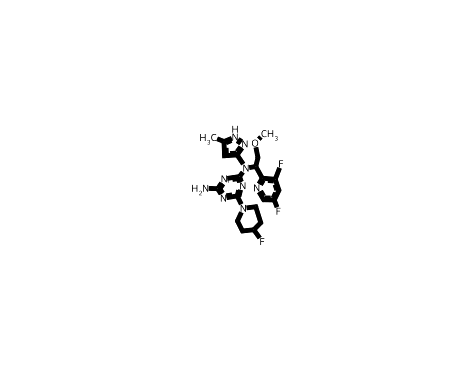 COCC(c1ncc(F)cc1F)N(c1cc(C)[nH]n1)c1nc(N)nc(N2CCC(F)CC2)n1